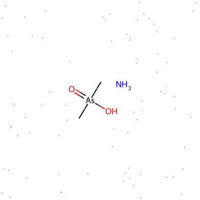 C[As](C)(=O)O.N